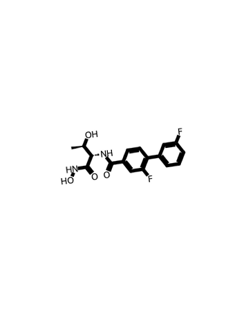 C[C@@H](O)[C@H](NC(=O)c1ccc(-c2cccc(F)c2)c(F)c1)C(=O)NO